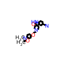 C=C1Oc2cc(OCCN3CCC4(CC3)C(=O)Nc3ccc(C#N)cc34)ccc2N1C